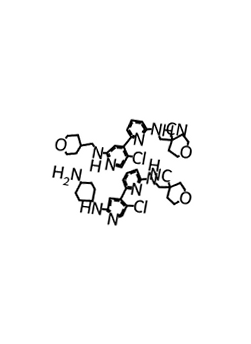 N#CC1(CNc2cccc(-c3cc(NCC4CCOCC4)ncc3Cl)n2)CCOCC1.N#CC1(CNc2cccc(-c3cc(N[C@H]4CC[C@H](N)CC4)ncc3Cl)n2)CCOCC1